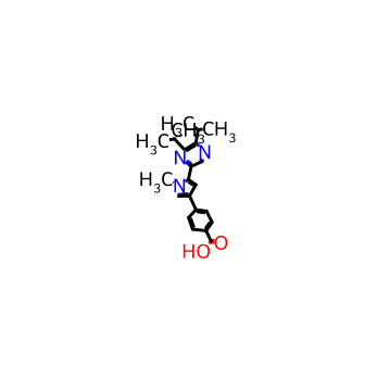 CC(C)c1ncc(-c2cc(-c3ccc(C(=O)O)cc3)cn2C)nc1C(C)C